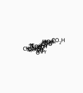 CC(C)C1=C2[C@H]3CC[C@@H]4[C@@]5(C)CC[C@H](OC(=O)CC(C)(C)C(=O)O)C(C)(C)[C@@H]5CC[C@@]4(C)[C@]3(C)CC[C@@]2([C@@H](O)CN(CCN(C)C)Cc2ccc(Cl)cc2)CC1=O